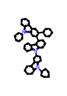 c1ccc(-c2cc3c4ccccc4n(-c4ccccc4)c3cc2-c2cccc3c2c2ccccc2n3-c2ccc3c(c2)c2ccccc2n3-c2ccccc2)cc1